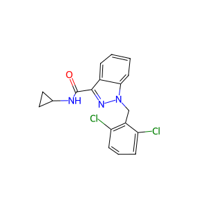 O=C(NC1CC1)c1nn(Cc2c(Cl)cccc2Cl)c2ccccc12